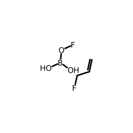 C=CCF.OB(O)OF